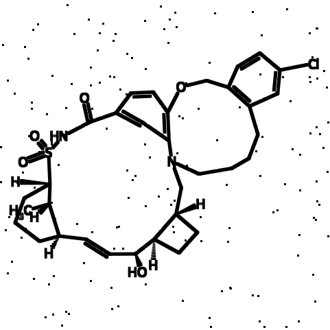 C[C@H]1[C@H]2/C=C/[C@H](O)[C@@H]3CC[C@H]3CN3CCCCc4cc(Cl)ccc4COc4ccc(cc43)C(=O)NS(=O)(=O)[C@H]1CCC2